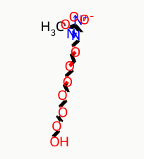 COc1nn(CCOCCOCCOCCOCCOCCOCCO)cc1[N+](=O)[O-]